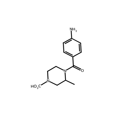 CC1CN(C(=O)O)CCN1C(=O)c1ccc(N)cc1